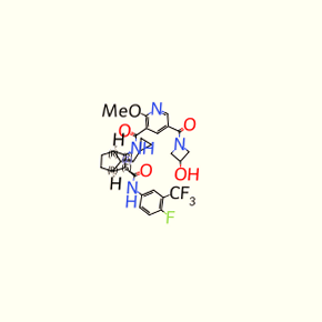 COc1ncc(C(=O)N2CC(O)C2)cc1C(=O)N[C@H]1[C@@H](C(=O)Nc2ccc(F)c(C(F)(F)F)c2)[C@H]2CC[C@@H]1/C2=C\C1CC1